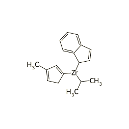 CC1=CC[C]([Zr]([CH](C)C)[CH]2C=Cc3ccccc32)=C1